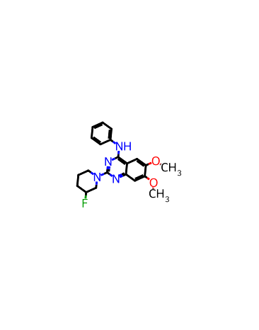 COc1cc2nc(N3CCCC(F)C3)nc(Nc3ccccc3)c2cc1OC